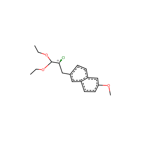 CCOC(OCC)[C@@H](Cl)Cc1ccc2cc(OC)ccc2c1